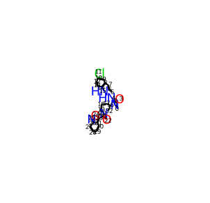 CN(C(=O)NCc1cc2cc(Cl)ccc2[nH]1)C1CCCN(C(=O)c2onc3ccccc23)C1